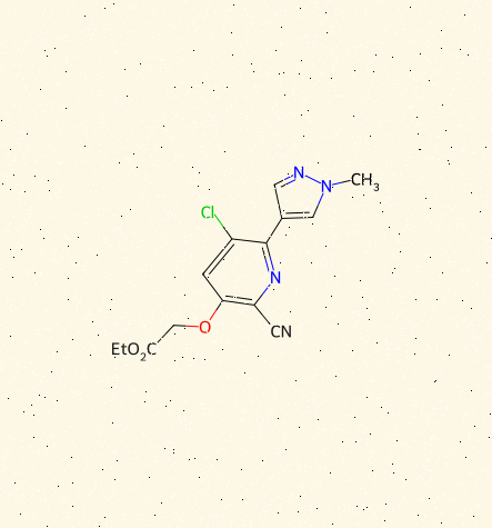 CCOC(=O)COc1cc(Cl)c(-c2cnn(C)c2)nc1C#N